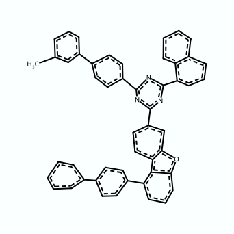 Cc1cccc(-c2ccc(-c3nc(-c4ccc5c(c4)oc4cccc(-c6ccc(-c7ccccc7)cc6)c45)nc(-c4cccc5ccccc45)n3)cc2)c1